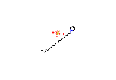 CCCCCCCCCCCCCCCCN1C=CC=CC1.O=S(=O)(O)O